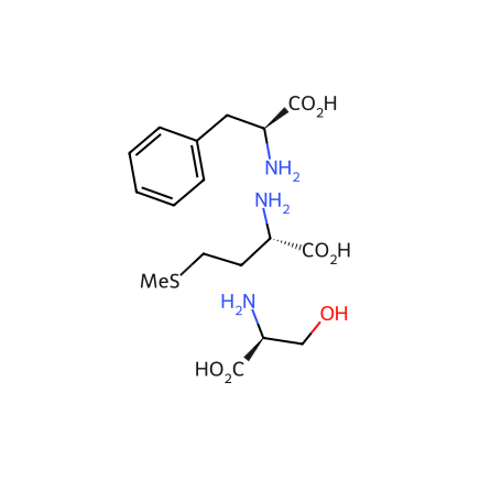 CSCC[C@H](N)C(=O)O.N[C@@H](CO)C(=O)O.N[C@@H](Cc1ccccc1)C(=O)O